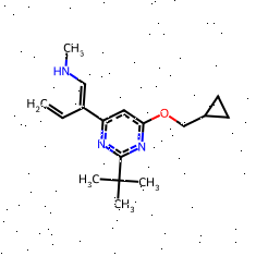 C=C/C(=C\NC)c1cc(OCC2CC2)nc(C(C)(C)C)n1